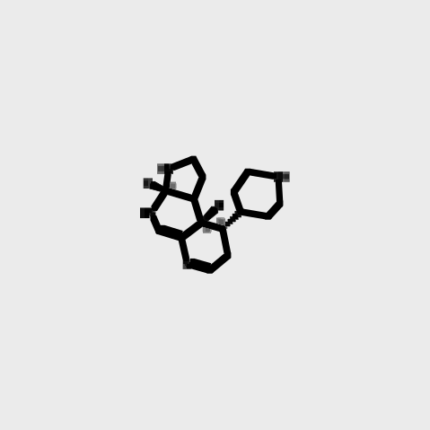 C1=NC2=CN[C@@H]3NCCC3[C@@H]2[C@H](C2CCNCC2)C1